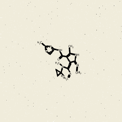 C=N/C(=C1/C(C(=O)Nc2csc(C)n2)=C(C)N/C1=N/C)N(C)C1(C)CC1